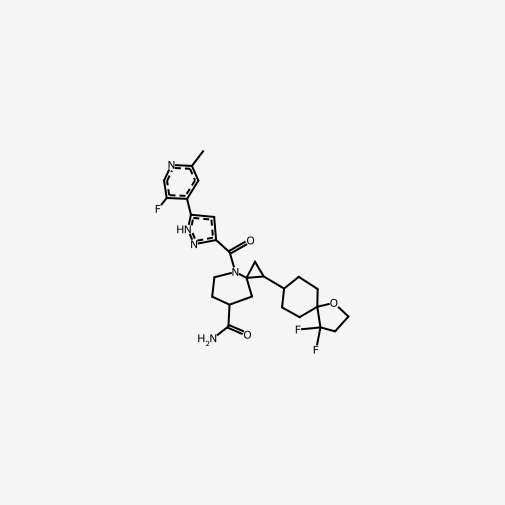 Cc1cc(-c2cc(C(=O)N3CCC(C(N)=O)CC34CC4C3CCC4(CC3)OCCC4(F)F)n[nH]2)c(F)cn1